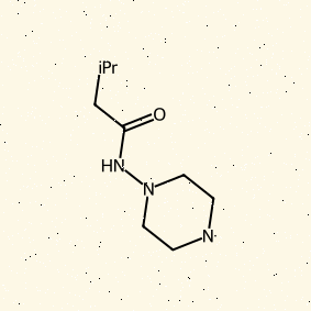 CC(C)CC(=O)NN1CC[N]CC1